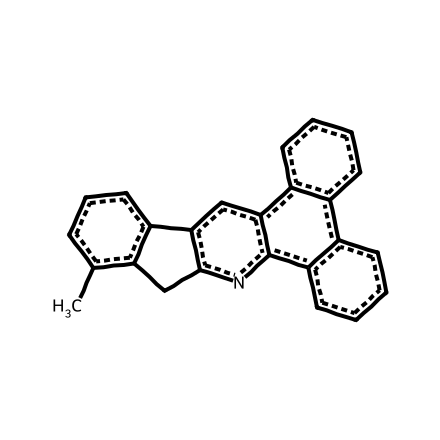 Cc1cccc2c1Cc1nc3c4ccccc4c4ccccc4c3cc1-2